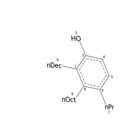 CCCCCCCCCCc1c(O)ccc(CCC)c1CCCCCCCC